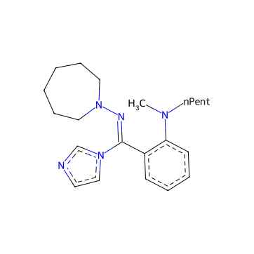 CCCCCN(C)c1ccccc1C(=NN1CCCCCC1)n1ccnc1